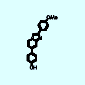 COc1ccc(-c2cn3ccc(-c4ccc(O)cc4)cc3n2)cc1